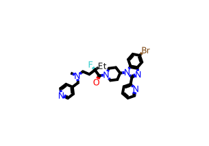 CCC(F)(CCN(C)Cc1ccncc1)C(=O)N1CCC(n2c(-c3ccccn3)nc3cc(Br)ccc32)CC1